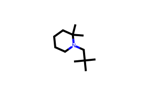 CC(C)(C)CN1CCCCC1(C)C